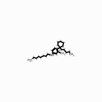 CCCCCCCCNc1ccc(C2(CCCCC)CCCCC2)c(C)c1